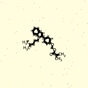 C=C(C)C(=O)OCOc1ccc(-c2cc3ccccc3n2CCCC(C)C)cc1